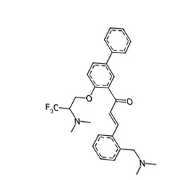 CN(C)Cc1ccccc1C=CC(=O)c1cc(-c2ccccc2)ccc1OCC(N(C)C)C(F)(F)F